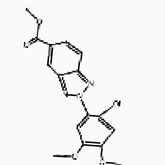 COC(=O)c1ccc2nn(-c3cc(OC)c(OC)cc3O)nc2c1